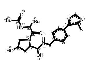 Cc1ncsc1-c1ccc(CNC(O)C2CC(O)CN2C(=O)C(NC(=O)C(C)(C)C)C(C)(C)C)cc1